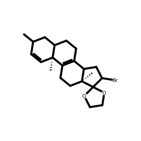 CC1C=C[C@]2(C)C3=C(CCC2C1)C1CC(Br)C2(OCCO2)[C@@]1(C)CC3